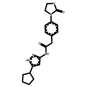 O=C(Cc1ccc(N2CCOC2=O)cc1)Nc1cc(C2CCCC2)[nH]n1